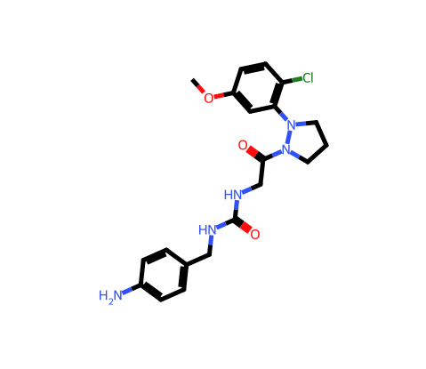 COc1ccc(Cl)c(N2CCCN2C(=O)CNC(=O)NCc2ccc(N)cc2)c1